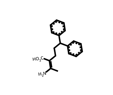 C/C(N)=C(\CCC(c1ccccc1)c1ccccc1)C(=O)O